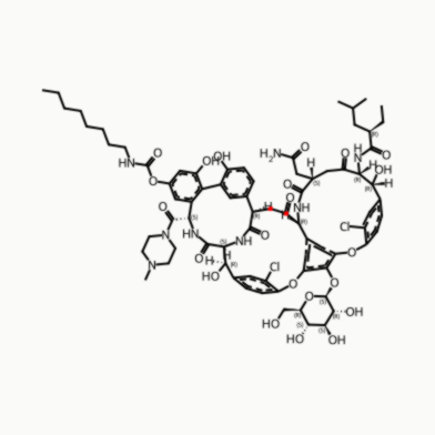 CCCCCCCCNC(=O)Oc1cc(O)c2c(c1)[C@@H](C(=O)N1CCN(C)CC1)NC(=O)[C@H]1NC(=O)[C@H](CC(=O)[C@@H]3NC(=O)[C@H](CC(N)=O)CC(=O)[C@H](NC(=O)[C@H](CC)CC(C)C)[C@H](O)c4ccc(c(Cl)c4)Oc4cc3cc(c4O[C@@H]3O[C@H](CO)[C@@H](O)[C@H](O)[C@H]3O)Oc3ccc(cc3Cl)[C@H]1O)c1ccc(O)c-2c1